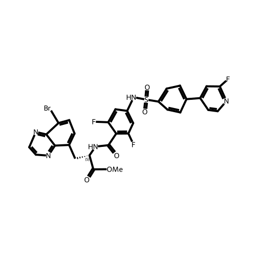 COC(=O)[C@H](Cc1ccc(Br)c2nccnc12)NC(=O)c1c(F)cc(NS(=O)(=O)c2ccc(-c3ccnc(F)c3)cc2)cc1F